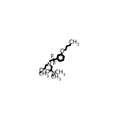 CCCCOc1cccc(C(F)(F)CN(CCOC)CC(=O)N(C)C)c1